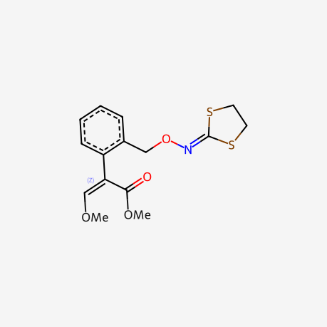 CO/C=C(\C(=O)OC)c1ccccc1CON=C1SCCS1